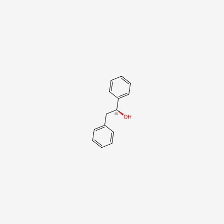 O[C@@H](Cc1ccccc1)c1ccccc1